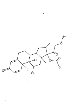 CCC(=O)OC1(C(=O)COC(C)C)C(C)CC2C3CCC4=CC(=O)C=CC4(C)C3(Cl)C(O)CC21C